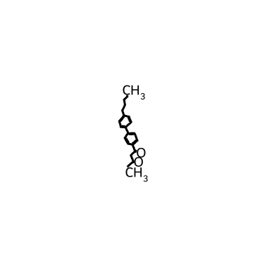 CCCCCc1ccc(-c2ccc(C(=O)CC(=O)CC)cc2)cc1